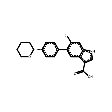 O=C(O)c1c[nH]c2cc(Cl)c(-c3ccc([C@H]4CCCCO4)cc3)cc12